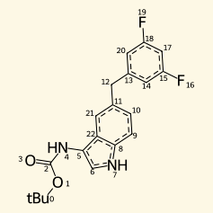 CC(C)(C)OC(=O)Nc1c[nH]c2ccc(Cc3cc(F)cc(F)c3)cc12